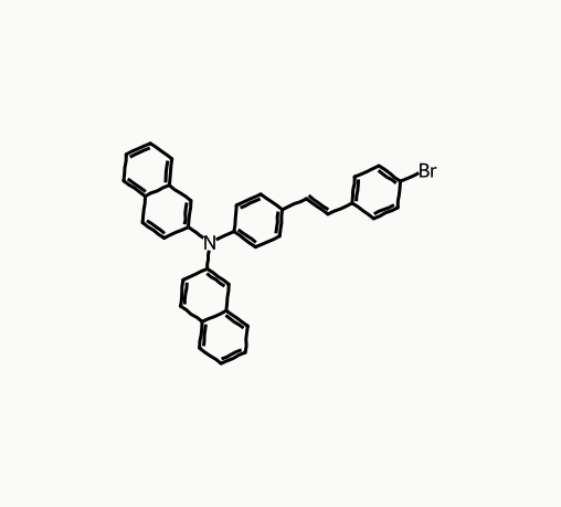 Brc1ccc(C=Cc2ccc(N(c3ccc4ccccc4c3)c3ccc4ccccc4c3)cc2)cc1